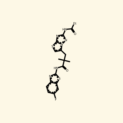 CCC(=O)Nc1nc2scc(CC(C)(C)C(=O)Nc3nc4ccc(F)cc4s3)n2n1